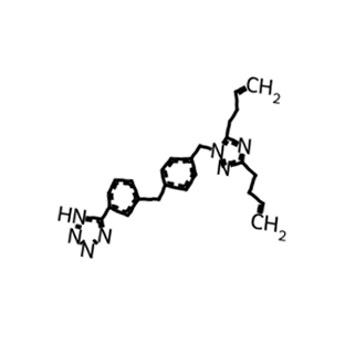 C=CCCc1nc(CCC=C)n(Cc2ccc(Cc3cccc(-c4nnn[nH]4)c3)cc2)n1